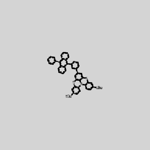 CC(C)(C)c1ccc2c(c1)Sc1cc(-c3cccc(-c4c5ccccc5c(-c5ccccc5)c5ccccc45)c3)cc3c1B2c1ccc(C(C)(C)C)cc1S3